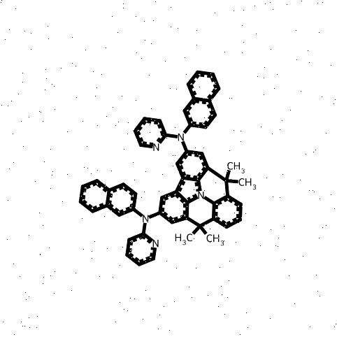 CC1(C)c2cccc3c2-n2c4c1cc(N(c1ccc5ccccc5c1)c1ccccn1)cc4c1cc(N(c4ccc5ccccc5c4)c4ccccn4)cc(c12)C3(C)C